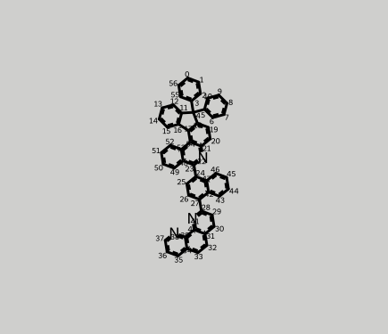 c1ccc(C2(c3ccccc3)c3ccccc3-c3c2ccc2nc(-c4ccc(-c5ccc6ccc7cccnc7c6n5)c5ccccc45)c4ccccc4c32)cc1